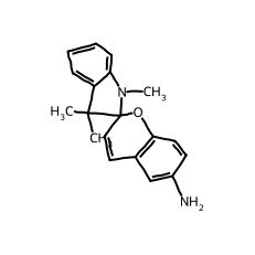 CN1c2ccccc2C(C)(C)C12C=Cc1cc(N)ccc1O2